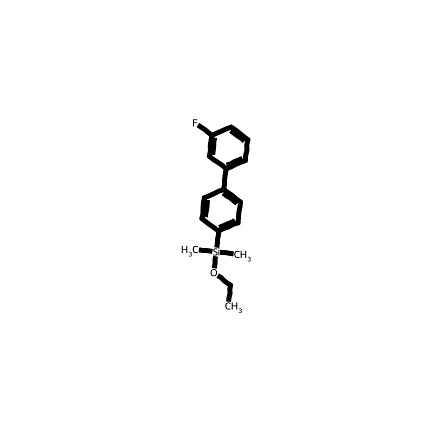 CCO[Si](C)(C)c1ccc(-c2cccc(F)c2)cc1